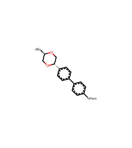 CCCCCc1ccc(-c2ccc([C@H]3CO[C@H](CCCC)CO3)cc2)cc1